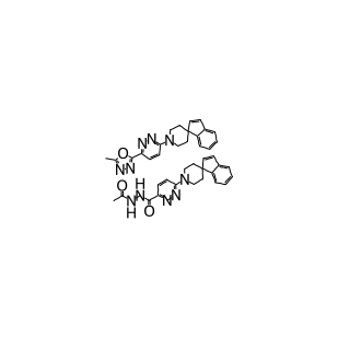 CC(=O)NNC(=O)c1ccc(N2CCC3(C=Cc4ccccc43)CC2)nn1.Cc1nnc(-c2ccc(N3CCC4(C=Cc5ccccc54)CC3)nn2)o1